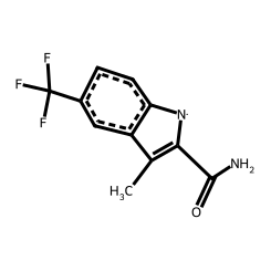 CC1=C(C(N)=O)[N]c2ccc(C(F)(F)F)cc21